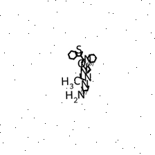 Cc1cn2nc([C@@H]3CCCCN3C(=O)c3csc4c3CCCC4)cc2nc1N1CC[C@H](N)C1